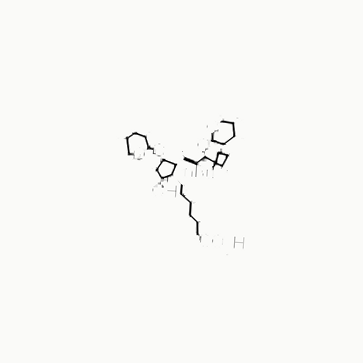 CCCCC1([C@@H](C=C[C@@H]2[C@@H](CCCCCCC(=O)O)[C@@H](O)C[C@H]2OC2CCCCO2)OC2CCCCO2)CCC1